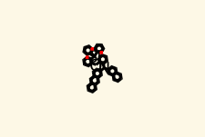 c1ccc([Si]2(c3ccccc3)c3ccccc3Oc3c(N(c4ccc5ccccc5c4)c4ccc5cc6ccccc6cc5c4)cccc32)cc1